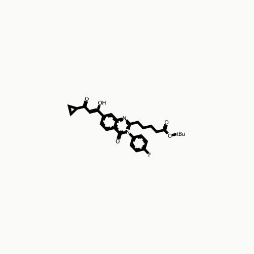 CC(C)(C)OC(=O)CCCCc1nc2cc(/C(O)=C/C(=O)C3CC3)ccc2c(=O)n1-c1ccc(F)cc1